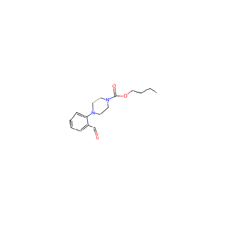 CCCCOC(=O)N1CCN(c2ccccc2C=O)CC1